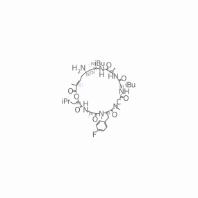 CCC(C)[C@@H]1NC(=O)CN(C)C(=O)[C@@H](Cc2ccc(F)cc2)N(C)C(=O)[C@H](C)NC(=O)[C@@H](CC(C)C)OC(=O)/C(C)=C/C[C@H](N)[C@H](C)[C@@H]([C@@H](C)CC)NC(=O)[C@@H](C)NC1=O